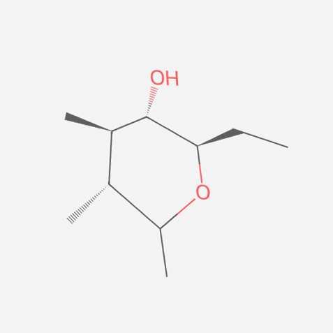 CC[C@H]1OC(C)[C@H](C)[C@@H](C)[C@@H]1O